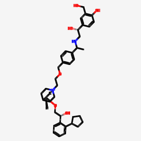 CC(NC[C@H](O)c1ccc(O)c(CO)c1)c1ccc(COCC[N+]23CCC(CC2)[C@@H](OC[C@H](O)c2ccccc2C2CCCC2)C3)cc1